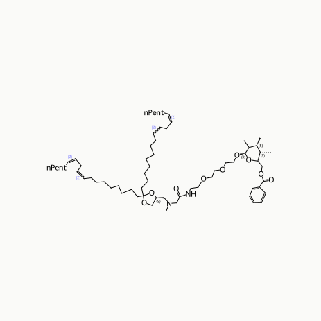 CCCCC/C=C\C/C=C\CCCCCCCCC1(CCCCCCCC/C=C\C/C=C\CCCCC)OC[C@H](CN(C)CC(=O)NCCOCCOCCO[C@@H]2OC(COC(=O)c3ccccc3)[C@@H](C)[C@H](C)C2C)O1